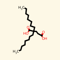 CCCCCCCCC(CCCCCCCC)(CCC(=O)O)C(=O)O